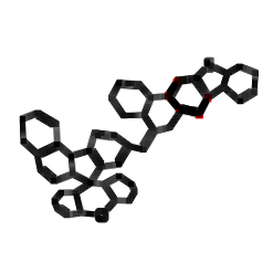 C1=CC(C2C=CCCC2/C(=C\c2ccc3c(c2)C2(C4C=CC5=C(C=CCC5)C34)C3CCC=CC3OC3CCCCC32)CC2=CC3C(CC2)SC2CCC=CC23)=CCC1